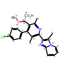 Cc1nc(-c2nc3ccccn3c2C)c(C)c(-c2ccc(Cl)cc2)c1[C@H](OC(C)(C)C)C(=O)O